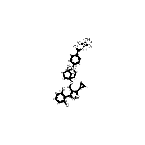 CS(=O)(=O)NC(=O)c1ccc(N2CCC3(OCc4c(-c5c(Cl)cccc5Cl)noc4C4CC4)CC[C@H]2C3)cc1